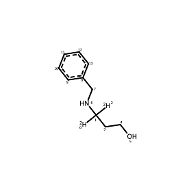 [2H]C([2H])(CCO)NCc1ccccc1